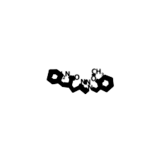 COc1ccccc1Cn1cc(CC(=Cc2ccccc2)C(N)=O)nn1